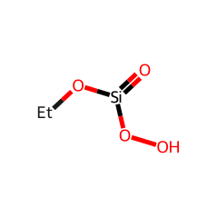 CCO[Si](=O)OO